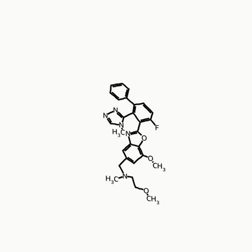 COCCN(C)Cc1cc(OC)c2oc(-c3c(F)ccc(-c4ccccc4)c3-c3nncn3C)nc2c1